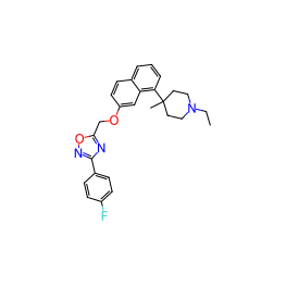 CCN1CCC(C)(c2cccc3ccc(OCc4nc(-c5ccc(F)cc5)no4)cc23)CC1